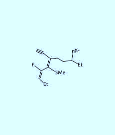 C#C/C(CCC(CC)CCC)=C(SC)\C(F)=C/CC